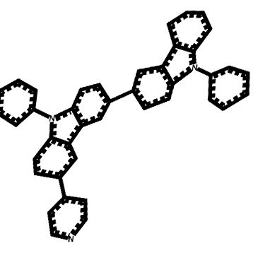 c1ccc(-n2c3ccccc3c3cc(-c4ccc5c(c4)c4cc(-c6ccncc6)ccc4n5-c4ccccc4)ccc32)cc1